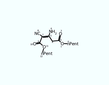 CCCCCOC(=O)CC(N)=C(C#N)C(=O)OCCCCC